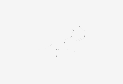 COC(=O)N(C)[C@@H](Cc1ccncc1)C(=O)[O-].[Li+]